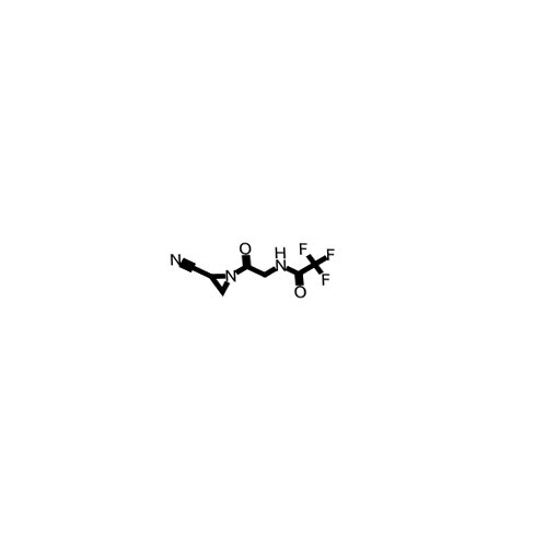 N#CC1CN1C(=O)CNC(=O)C(F)(F)F